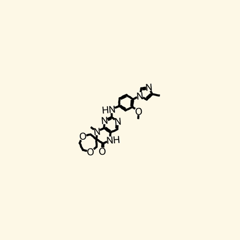 COc1cc(Nc2ncc3c(n2)N(C)C2(COCCOC2)C(=O)N3)ccc1-n1cnc(C)c1